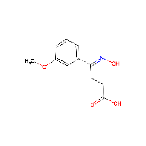 COc1cccc(C(CCC(=O)O)=NO)c1